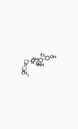 CCc1cc(O)ccc1-c1ccc2c(-c3nc(C4=CCCN(C5CCN(C)CC5)C4)c[nH]3)n[nH]c2c1